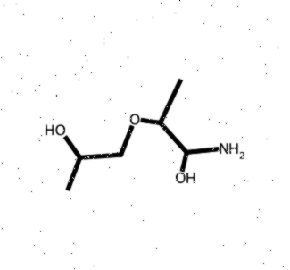 CC(O)COC(C)C(N)O